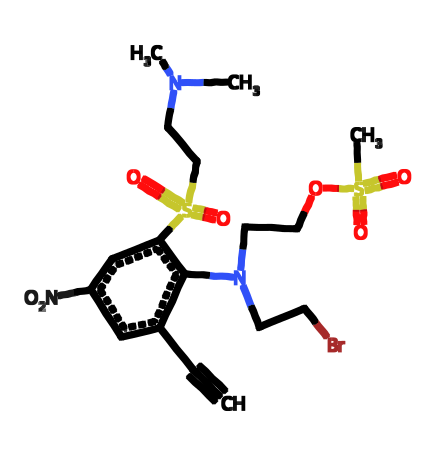 C#Cc1cc([N+](=O)[O-])cc(S(=O)(=O)CCN(C)C)c1N(CCBr)CCOS(C)(=O)=O